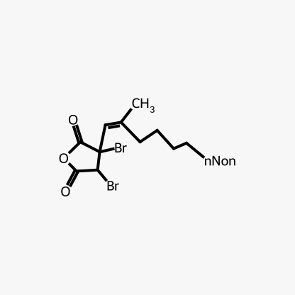 CCCCCCCCCCCCCC(C)=CC1(Br)C(=O)OC(=O)C1Br